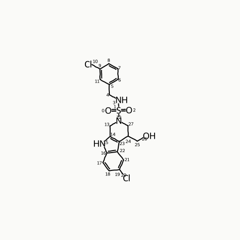 O=S(=O)(NCc1cccc(Cl)c1)N1Cc2[nH]c3ccc(Cl)cc3c2C(CO)C1